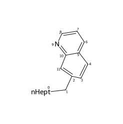 CCCCCCCCc1ccc2cc[c]nc2c1